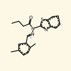 CCCC(=O)N(/N=C/c1cc(C)ccc1C)c1nc2ccccc2s1